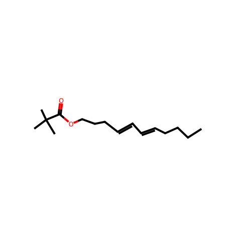 CCCCC=CC=CCCCOC(=O)C(C)(C)C